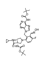 CC(C)(C)OC(=O)Nc1ncnc2c1ncn2Cc1c(N2CC[C@](NC(=O)OC(C)(C)C)(C(=O)NC3CC3)C2)ccc(F)c1/C=N/O